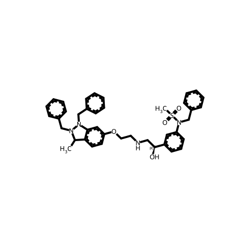 CC1c2ccc(OCCNC[C@H](O)c3cccc(N(Cc4ccccc4)S(C)(=O)=O)c3)cc2N(Cc2ccccc2)N1Cc1ccccc1